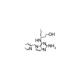 C/C=N\C(=C/C)Cn1ccc2nc(N)nc(N[C@@H](CCC)CCO)c21